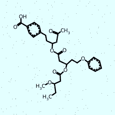 CCC(CC(=O)OC(CCOc1ccccc1)CC(=O)OC(CCc1ccc(C(=O)O)cc1)CC(C)=O)OC